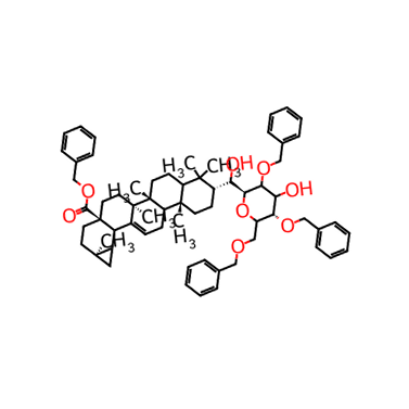 CC1(C)C2CC[C@]3(C)C(CC=C4C5C6C[C@@]6(C)CC[C@]5(C(=O)OCc5ccccc5)CC[C@]43C)[C@@]2(C)CC[C@H]1C(O)[C@@H]1OC(COCc2ccccc2)[C@@H](OCc2ccccc2)C(O)C1OCc1ccccc1